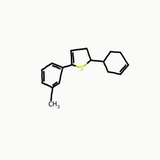 Cc1cccc(C2=CCC(C3CC=CCC3)S2)c1